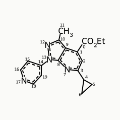 CCOC(=O)c1cc(C2CC2)nc2c1c(C)nn2-c1ccncc1